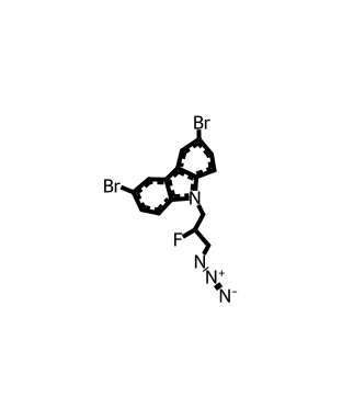 [N-]=[N+]=NCC(F)Cn1c2ccc(Br)cc2c2cc(Br)ccc21